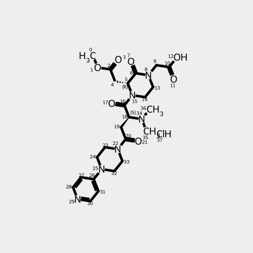 COC(=O)C[C@@H]1C(=O)N(CC(=O)O)CCN1C(=O)[C@H](CC(=O)N1CCN(c2ccncc2)CC1)N(C)C.Cl